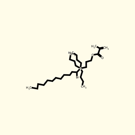 C=C(C)C(=O)OCCCP(CCCC)(CCCC)(CCCC)C(Br)CCCCCCCCCCC